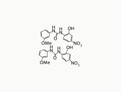 COc1cccc(NC(=O)Nc2ccc([N+](=O)[O-])cc2O)c1.COc1cccc(NC(=O)Nc2ccc([N+](=O)[O-])cc2O)c1